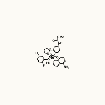 CCS(=O)(=O)c1ccc(NC(=O)OC)cc1[C@H]1CCCN1C(=O)[C@H](Nc1ccc2c(N)nccc2c1)c1cc(Cl)ccc1F